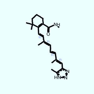 CNC(=O)C1=C(/C=C/C(C)=C/C=C/C(C)=C/c2nn[nH]c2C)C(C)(C)CCC1